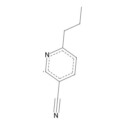 CCCc1ccc(C#N)[c]n1